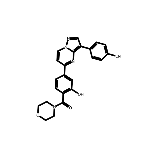 N#Cc1ccc(-c2cnn3ccc(-c4ccc(C(=O)N5CCOCC5)c(O)c4)nc23)cc1